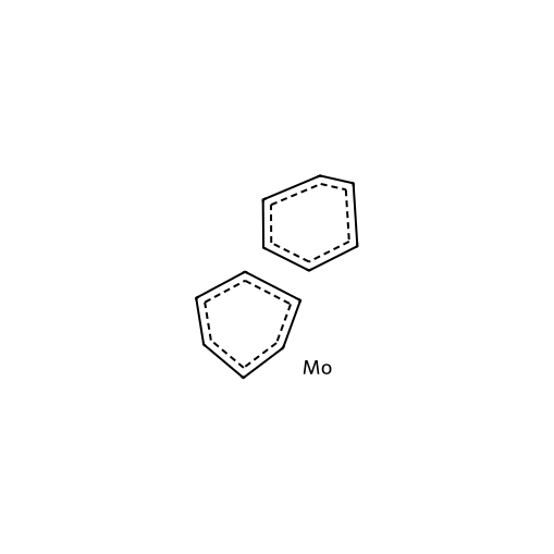 [Mo].c1ccccc1.c1ccccc1